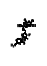 CC1(O)[C@@H](F)[C@@H](COP(=O)(O)OP(=O)(O)OP(=O)(O)O)O[C@H]1n1ccc(N)nc1=S